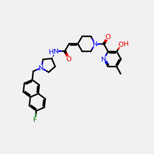 Cc1cnc(C(=O)N2CCC(=CC(=O)N[C@@H]3CCN(Cc4ccc5cc(F)ccc5c4)C3)CC2)c(O)c1